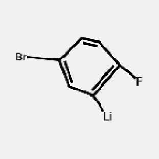 [Li][c]1cc(Br)ccc1F